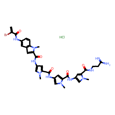 C=C(Br)C(=O)Nc1ccc2c(c1)cc(C(=O)Nc1cc(C(=O)Nc3cc(C(=O)Nc4cc(C(=O)NCCC(=N)N)n(C)c4)n(C)c3)n(C)c1)n2C.Cl